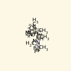 C=N/C(=N\C=C(/C)C(F)(F)F)NC[C@H](CC)N(CC)C(=O)c1nc(C)ccc1-n1nccn1